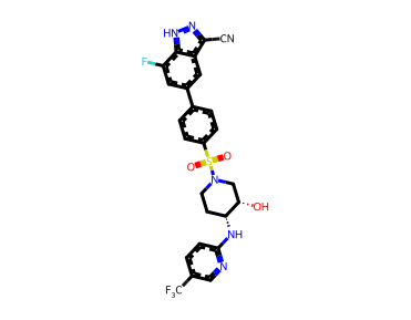 N#Cc1n[nH]c2c(F)cc(-c3ccc(S(=O)(=O)N4CC[C@@H](Nc5ccc(C(F)(F)F)cn5)[C@@H](O)C4)cc3)cc12